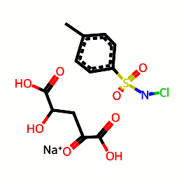 Cc1ccc(S(=O)(=O)[N-]Cl)cc1.O=C(O)C(=O)CC(O)C(=O)O.[Na+]